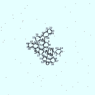 c1ccc(-c2nc(-c3ccc(-n4c5ccccc5c5cc6ccccc6cc54)cc3-c3cccc4sc5c6ccccc6ccc5c34)nc(-c3cccc4oc5ccccc5c34)n2)cc1